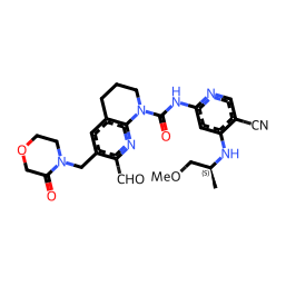 COC[C@H](C)Nc1cc(NC(=O)N2CCCc3cc(CN4CCOCC4=O)c(C=O)nc32)ncc1C#N